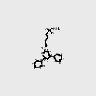 CC(C)(CN)CCCCOc1cc(-c2ccccc2)cc(-c2ccccc2)n1